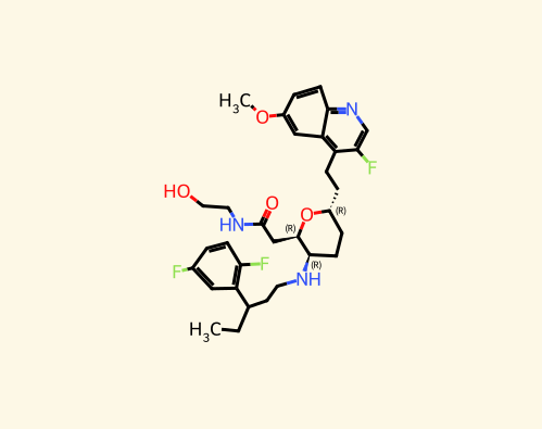 CCC(CCN[C@@H]1CC[C@@H](CCc2c(F)cnc3ccc(OC)cc23)O[C@@H]1CC(=O)NCCO)c1cc(F)ccc1F